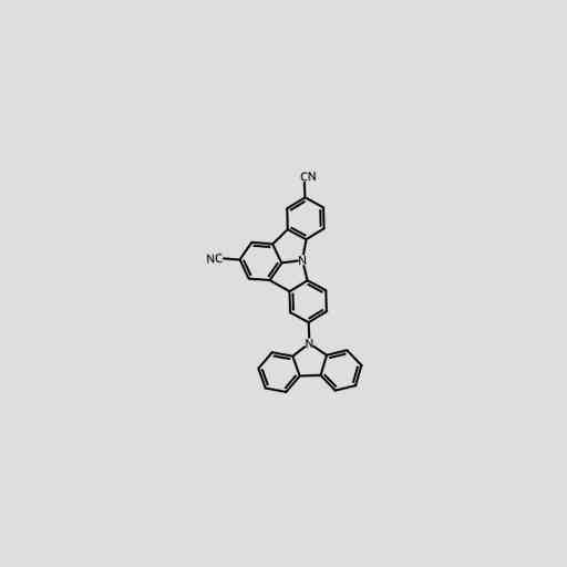 N#Cc1ccc2c(c1)c1cc(C#N)cc3c4cc(-n5c6ccccc6c6ccccc65)ccc4n2c13